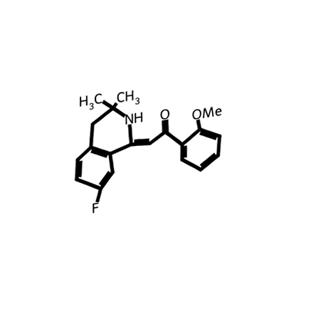 COc1ccccc1C(=O)C=C1NC(C)(C)Cc2ccc(F)cc21